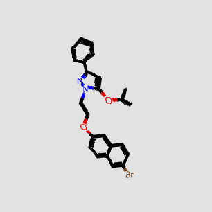 CC(C)Oc1cc(-c2ccccc2)nn1CCOc1ccc2cc(Br)ccc2c1